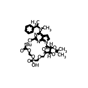 CC(c1ccccc1)N(C)c1nc(Cl)nc2c1ccn2[C@@H]1O[C@H](COCP(=O)(O)OCOC(=O)C(C)(C)C)[C@H]2OC(C)(C)O[C@H]21